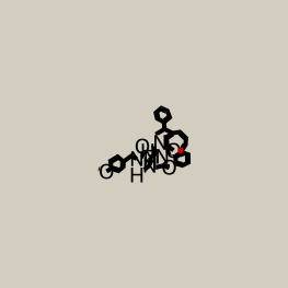 COc1ccc(CNC(=O)N2[C@H]3CN4CC(c5ccccc5)C5=CC4(O/C(C)=C\C=C/5)[C@H](c4ccccc4)N3C(=O)CN2C)cc1